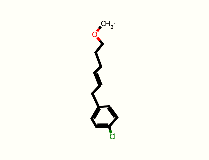 [CH2]OCCC/C=C/Cc1ccc(Cl)cc1